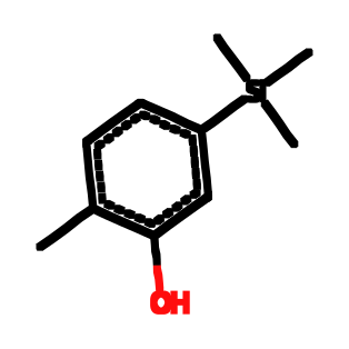 Cc1ccc([Si](C)(C)C)cc1O